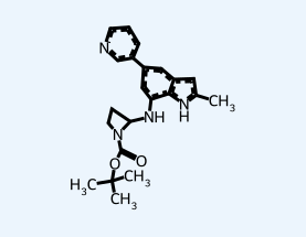 Cc1cc2cc(-c3cccnc3)cc(NC3CCN3C(=O)OC(C)(C)C)c2[nH]1